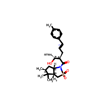 CCCCCC[C@@H](O)[C@@H](C/C=C/c1ccc(C)cc1)C(=O)N1[C@H]2C[C@H](C)C(C)(C)[C@@]2(C)CS1(=O)=O